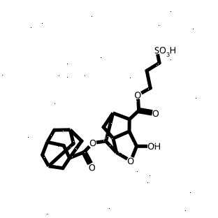 O=C(OCCCS(=O)(=O)O)C1C2CC3C(OC(O)C31)C2OC(=O)C12CC3CC(CC(C3)C1)C2